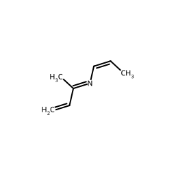 C=C/C(C)=N/C=C\C